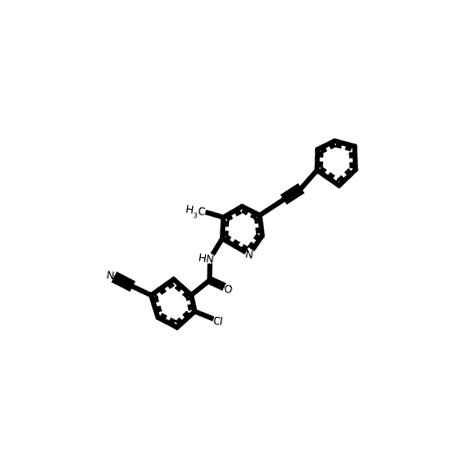 Cc1cc(C#Cc2ccccc2)cnc1NC(=O)c1cc(C#N)ccc1Cl